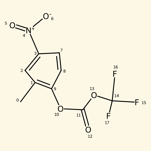 Cc1cc([N+](=O)[O-])ccc1OC(=O)OC(F)(F)F